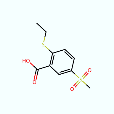 CCSc1ccc(S(C)(=O)=O)cc1C(=O)O